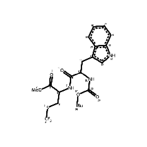 COC(=O)C(CSC(F)(F)F)NC(=O)C(Cc1c[nH]c2ccccc12)NC(=O)OC(C)(C)C